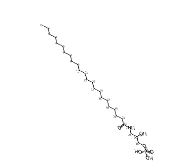 CCCCCCCCCCCCCCCCCCCCCCC(=O)NCC(O)COP(=O)(O)O